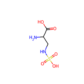 NC(CNS(=O)(=O)O)C(=O)O